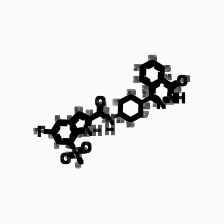 CS(=O)(=O)c1cc(F)cc2cc(C(=O)N[C@H]3CC[C@H](c4n[nH]c(=O)c5ccccc54)CC3)[nH]c12